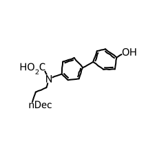 CCCCCCCCCCCCN(C(=O)O)c1ccc(-c2ccc(O)cc2)cc1